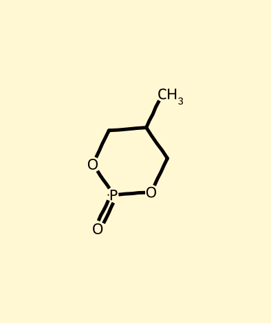 CC1CO[P](=O)OC1